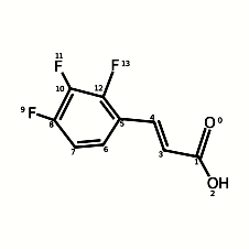 O=C(O)C=Cc1ccc(F)c(F)c1F